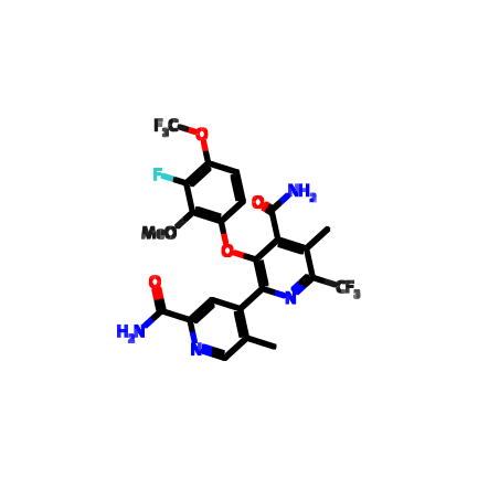 COc1c(Oc2c(-c3cc(C(N)=O)ncc3C)nc(C(F)(F)F)c(C)c2C(N)=O)ccc(OC(F)(F)F)c1F